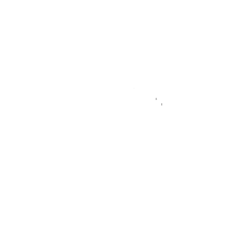 C1CCCCCC(NC2CCCCCCCCCCC2)CCCCC1